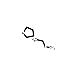 C1CCOC1.CCOC